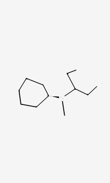 CN(C(CO)CO)[C@H]1CC[C@H](C)CC1